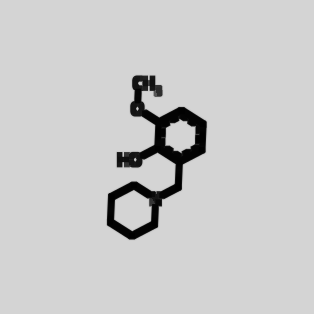 COc1cccc(CN2CCCCC2)c1O